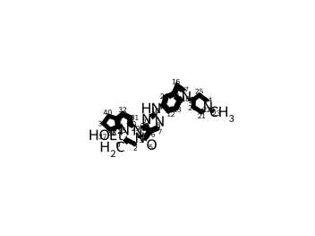 C=CCn1c(=O)c2cnc(Nc3ccc4c(ccn4C4CCN(C)CC4)c3)nc2n1-c1ccc2c(n1)C(O)(CC)CC2